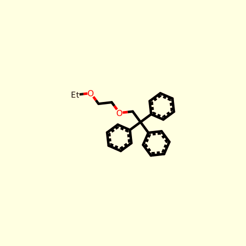 CCOCCOCC(c1ccccc1)(c1ccccc1)c1ccccc1